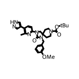 COc1cccc(CN2C(=O)N(c3ccc(-c4cn[nH]c4)c(C)n3)CC23CCN(C(=O)OC(C)(C)C)CC3)c1